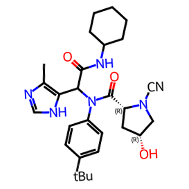 Cc1nc[nH]c1C(C(=O)NC1CCCCC1)N(C(=O)[C@H]1C[C@@H](O)CN1C#N)c1ccc(C(C)(C)C)cc1